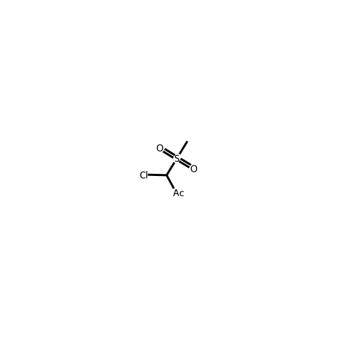 CC(=O)C(Cl)S(C)(=O)=O